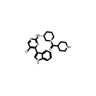 O=C(C1CCNCC1)N1CCC[C@@H](Nc2ncc(Cl)c(-c3c[nH]c4ccccc34)n2)C1